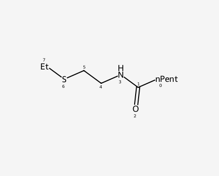 CCCCCC(=O)NCCSCC